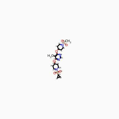 Cc1c(OC2CCN(S(C)(=O)=O)CC2)ncnc1OC1CCN(S(=O)(=O)C2CC2)CC1